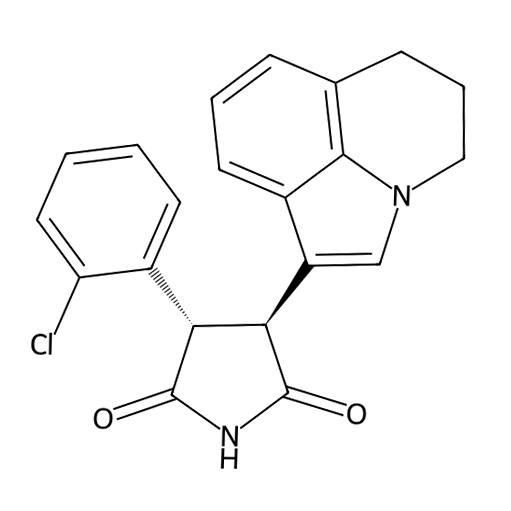 O=C1NC(=O)[C@H](c2cn3c4c(cccc24)CCC3)[C@H]1c1ccccc1Cl